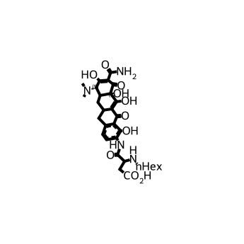 CCCCCCNC(CC(=O)O)C(=O)Nc1ccc2c(c1O)C(=O)C1=C(O)[C@]3(O)C(=O)C(C(N)=O)=C(O)[C@@H](N(C)C)C3CC1C2